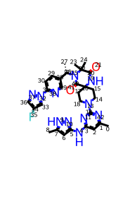 Cc1cc(Nc2cc(C)[nH]n2)nc(N2CCC3(CC2)NC(=O)C(C)(C)N([C@@H](C)c2ccc(-n4cc(F)cn4)nc2)C3=O)n1